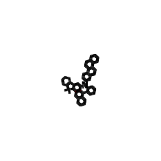 CC1(C)C2=C(CCC=C2)c2cc(N(c3ccc4c(ccc5c6ccccc6ccc45)c3)c3ccccc3-c3cccc4ccccc34)ccc21